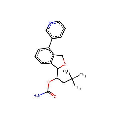 CC(C)(C)CC(OC(N)=O)C1OCc2c(-c3cccnc3)cccc21